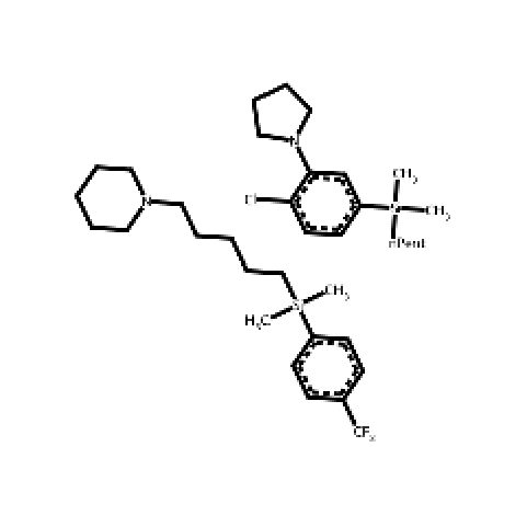 CCCCC[Si](C)(C)c1ccc(Cl)c(N2CCCC2)c1.C[Si](C)(CCCCCN1CCCCC1)c1ccc(C(F)(F)F)cc1